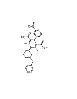 COC(=O)C1=C(C)N(C2CCCN(Cc3ccccc3)C2)C(C)=C(C(=O)O)C1c1cccc([N+](=O)[O-])c1